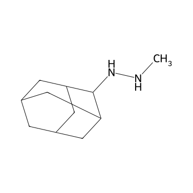 CNNC1C2CC3CC(C2)CC1C3